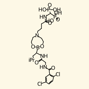 CC(C)CC(NC(=O)CNC(=O)c1cc(Cl)ccc1Cl)B1OCCN(CCCC(=O)NC(P(=O)(O)O)P(=O)(O)O)CCO1